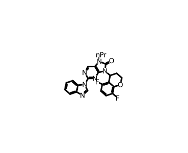 CCCn1c(=O)n(C2CCOc3c(F)ccc(F)c32)c2nc(-n3cnc4ccccc43)ncc21